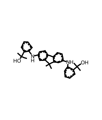 CC(C)(O)c1ccccc1Nc1ccc2c(c1)C(C)(C)c1cc(Nc3ccccc3C(C)(C)O)ccc1-2